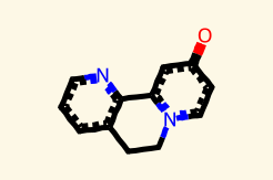 O=c1ccn2c(c1)-c1ncccc1CC2